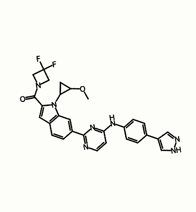 COC1CC1n1c(C(=O)N2CC(F)(F)C2)cc2ccc(-c3nccc(Nc4ccc(-c5cn[nH]c5)cc4)n3)cc21